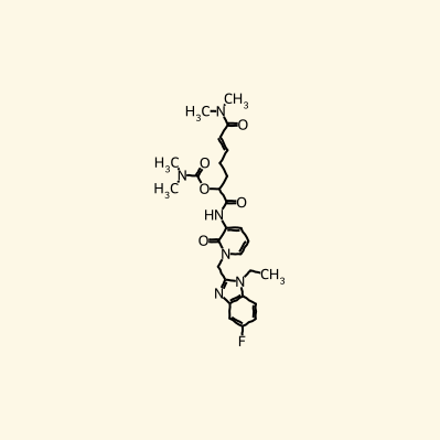 CCn1c(Cn2cccc(NC(=O)C(CCC=CC(=O)N(C)C)OC(=O)N(C)C)c2=O)nc2cc(F)ccc21